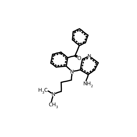 CN(C)CCCN(c1cnccc1N)c1ccccc1C(=O)c1ccccc1